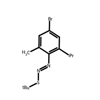 Cc1cc(Br)cc(C(C)C)c1/N=N/SC(C)(C)C